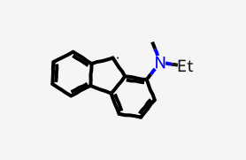 CCN(C)c1cccc2c1[CH]c1ccccc1-2